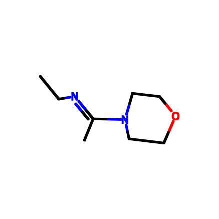 CC/N=C(\C)N1CCOCC1